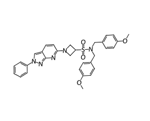 COc1ccc(CN(Cc2ccc(OC)cc2)S(=O)(=O)C2CN(c3ccc4cn(-c5ccccc5)nc4n3)C2)cc1